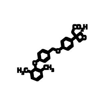 Cc1cccc(C)c1Oc1ccc(COc2ccc(C3(CC(=O)O)COC3)cc2)cc1